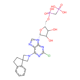 O=P(O)(O)CP(=O)(O)OC[C@H]1O[C@@H](n2cnc3c(N4CC5(CCc6ccccc65)C4)nc(Cl)nc32)C(O)C1O